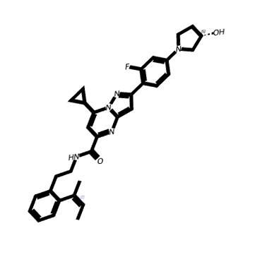 C/C=C(/C)c1ccccc1CCNC(=O)c1cc(C2CC2)n2nc(-c3ccc(N4CC[C@H](O)C4)cc3F)cc2n1